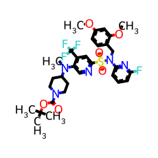 COc1ccc(CN(c2cccc(F)n2)S(=O)(=O)c2cc(C(F)(F)F)c(N(C)C3CCN(C(=O)OC(C)(C)C)CC3)cn2)c(OC)c1